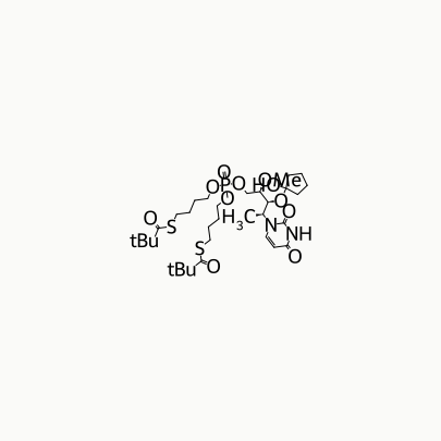 CO[C@H](COP(=O)(OCCCCSC(=O)C(C)(C)C)OCCCCSC(=O)C(C)(C)C)[C@@H](OC1(O)CCCC1)[C@H](C)n1ccc(=O)[nH]c1=O